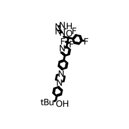 CC(C)(C)C(O)c1ccc(N2CCN(c3ccc(-c4ccc(C(F)(F)C(O)(Cn5cnnn5)c5ccc(F)cc5F)nc4)cc3)CC2)cc1